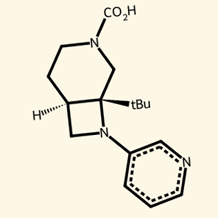 CC(C)(C)[C@]12CN(C(=O)O)CC[C@@H]1CN2c1cccnc1